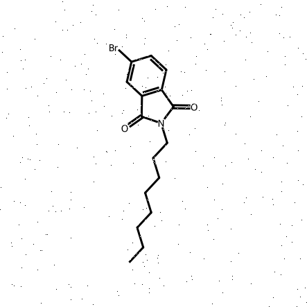 CCCCCCCCN1C(=O)c2ccc(Br)cc2C1=O